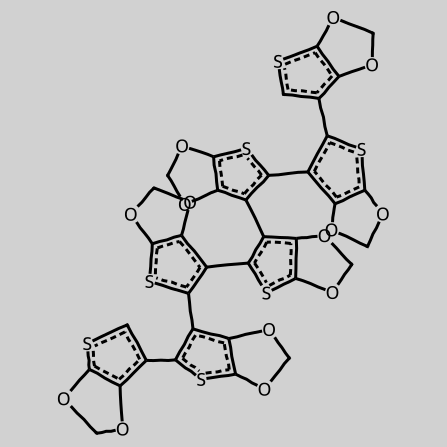 c1sc2c(c1-c1sc3c(c1-c1sc4c(c1-c1sc5c(c1-c1c(-c6c(-c7csc8c7OCO8)sc7c6OCO7)sc6c1OCO6)OCO5)OCO4)OCO3)OCO2